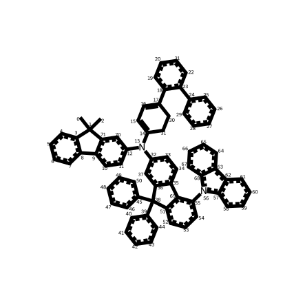 CC1(C)c2ccccc2-c2ccc(N(C3=CC=C(c4ccccc4-c4ccccc4)CC3)c3ccc4c(c3)C(c3ccccc3)(c3ccccc3)c3cccc(-n5c6ccccc6c6ccccc65)c3-4)cc21